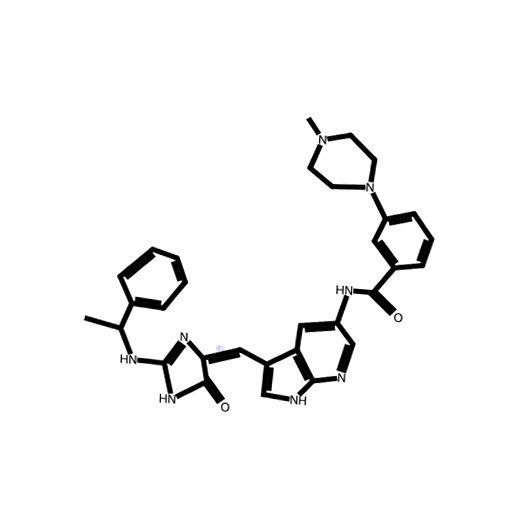 CC(NC1=N/C(=C/c2c[nH]c3ncc(NC(=O)c4cccc(N5CCN(C)CC5)c4)cc23)C(=O)N1)c1ccccc1